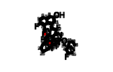 C#Cc1c(F)ccc2cc(O)cc(-c3nc(C(F)(F)F)c4c(N5CC6CCC(C5)N6C(=O)C(F)(F)F)nc(OC[C@]56CCCN5C[C@@H](F)C6)nc4c3F)c12